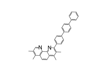 Cc1cnc2c(ccc3c(C)c(C)c(-c4ccc(-c5ccc(-c6ccccc6)cc5)cc4)nc32)c1C